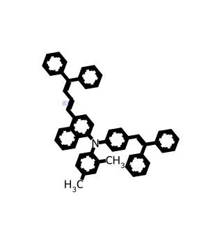 Cc1ccc(N(c2ccc(C=C(c3ccccc3)c3ccccc3)cc2)c2ccc(/C=C/C=C(c3ccccc3)c3ccccc3)c3ccccc23)c(C)c1